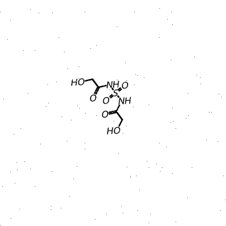 O=C(CO)NS(=O)(=O)NC(=O)CO